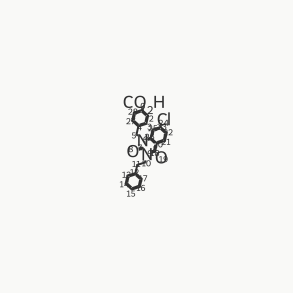 O=C(O)c1ccc(Cn2c(=O)n(CCc3ccccc3)c(=O)c3ccc(Cl)cc32)cc1